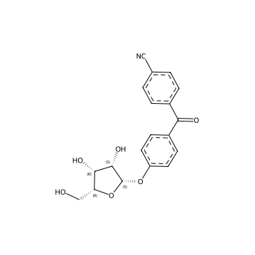 N#Cc1ccc(C(=O)c2ccc(O[C@@H]3O[C@H](CO)[C@H](O)[C@@H]3O)cc2)cc1